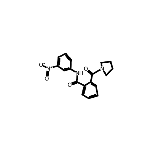 O=C(Nc1cccc([N+](=O)[O-])c1)c1ccccc1C(=O)N1CCCC1